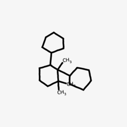 CC1(C)CCC[C](C2CCCCC2)C1(C)C1CCCCC1